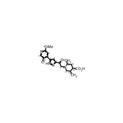 COc1cc(-c2cc(C(=O)CN3CC(C)C(C(=O)O)CC3C)n[nH]2)c(Cl)cn1